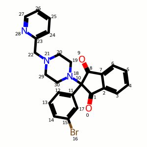 O=C1c2ccccc2C(=O)C1(c1cccc(Br)c1)N1CCN(Cc2ccccn2)CC1